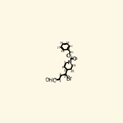 O=CCCC(Br)C1CCN(C(=O)OCc2ccccc2)CC1